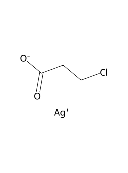 O=C([O-])CCCl.[Ag+]